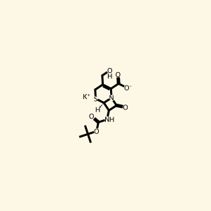 CC(C)(C)OC(=O)NC1C(=O)N2C(C(=O)[O-])=C(CO)CS[C@H]12.[K+]